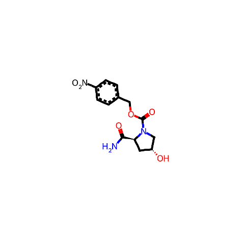 NC(=O)[C@@H]1C[C@@H](O)CN1C(=O)OCc1ccc([N+](=O)[O-])cc1